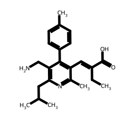 CCC(=Cc1c(C)nc(CC(C)C)c(CN)c1-c1ccc(C)cc1)C(=O)O